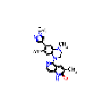 Cc1cc2c(N3CCN(C)c4cc(-c5cnn(C)c5)c(C#N)cc43)nccc2[nH]c1=O